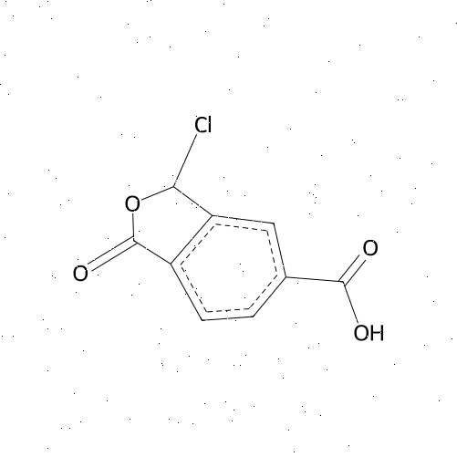 O=C(O)c1ccc2c(c1)C(Cl)OC2=O